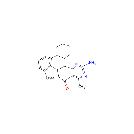 COc1cccc(C2CCCCC2)c1C1CC(=O)c2c(C)nc(N)nc2C1